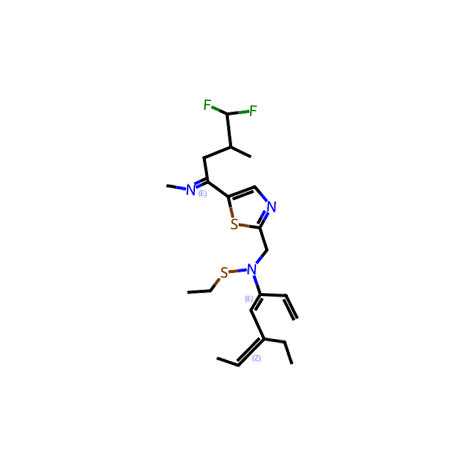 C=C/C(=C\C(=C/C)CC)N(Cc1ncc(/C(CC(C)C(F)F)=N/C)s1)SCC